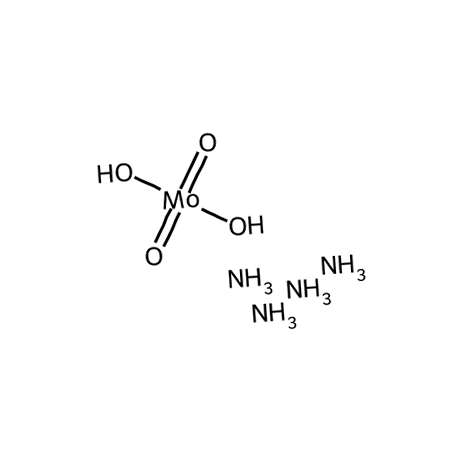 N.N.N.N.[O]=[Mo](=[O])([OH])[OH]